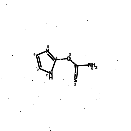 NC(=S)Oc1ncc[nH]1